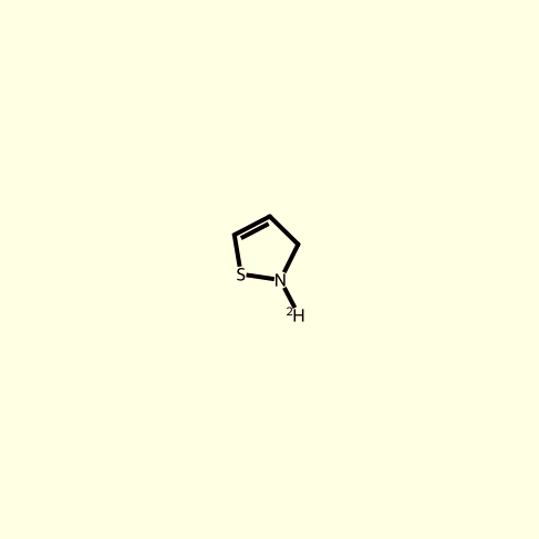 [2H]N1CC=CS1